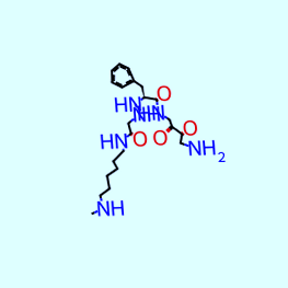 CNCCCCCCNC(=O)CNN[C@@H](Cc1ccccc1)C(=O)NCC(=O)C(=O)CN